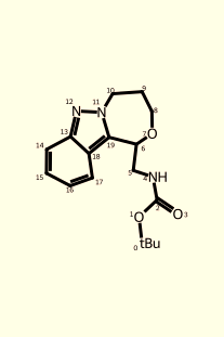 CC(C)(C)OC(=O)NCC1OCCCn2nc3ccccc3c21